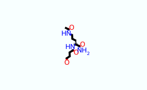 CC(=O)NCCC[C@H](NC(=O)CCC=O)C(N)=O